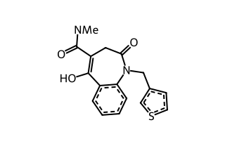 CNC(=O)C1=C(O)c2ccccc2N(Cc2ccsc2)C(=O)C1